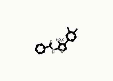 Cc1ccc(-c2csc(NC(=O)c3ccccc3)c2C(=O)O)cc1C